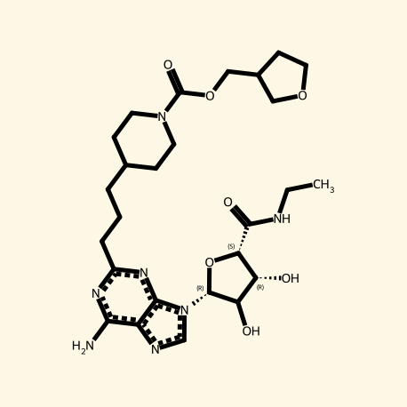 CCNC(=O)[C@H]1O[C@@H](n2cnc3c(N)nc(CCCC4CCN(C(=O)OCC5CCOC5)CC4)nc32)C(O)[C@H]1O